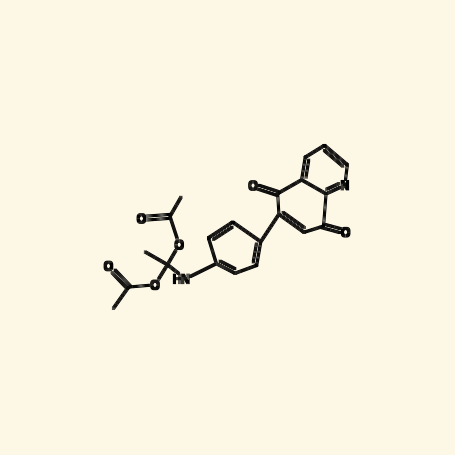 CC(=O)OC(C)(Nc1ccc(C2=CC(=O)c3ncccc3C2=O)cc1)OC(C)=O